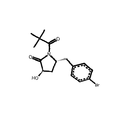 CC(C)(C)C(=O)N1C(=O)[C@H](O)C[C@H]1Cc1ccc(Br)cc1